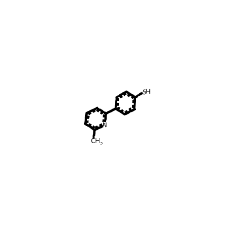 Cc1cccc(-c2ccc(S)cc2)n1